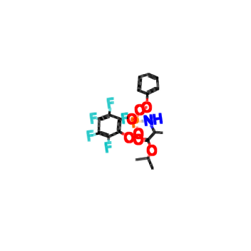 CC(C)OC(=O)C(C)N[P@](=O)(OOc1ccccc1)OOc1c(F)c(F)c(F)c(F)c1F